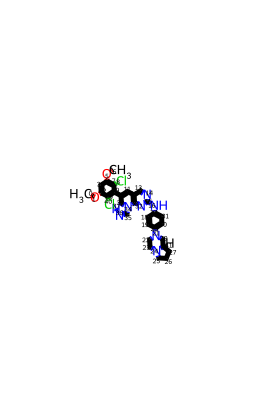 COc1cc(OC)c(Cl)c(-c2cc3cnc(Nc4ccc(N5CCN6CCC[C@@H]6C5)cc4)nc3n3cnnc23)c1Cl